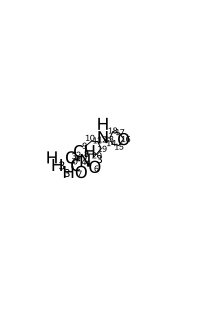 CC(C)(C)N(C(=O)O)[C@H]1CC[C@H](NC2CCOCC2)CC1